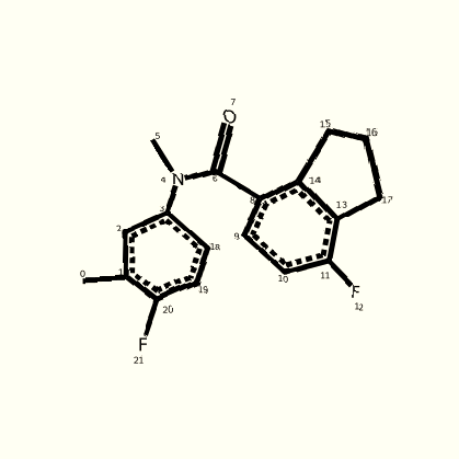 Cc1cc(N(C)C(=O)c2ccc(F)c3c2CCC3)ccc1F